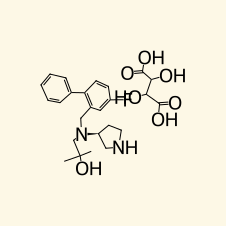 CC(C)(O)CN(Cc1cc(F)ccc1-c1ccccc1)[C@H]1CCNC1.O=C(O)C(O)C(O)C(=O)O